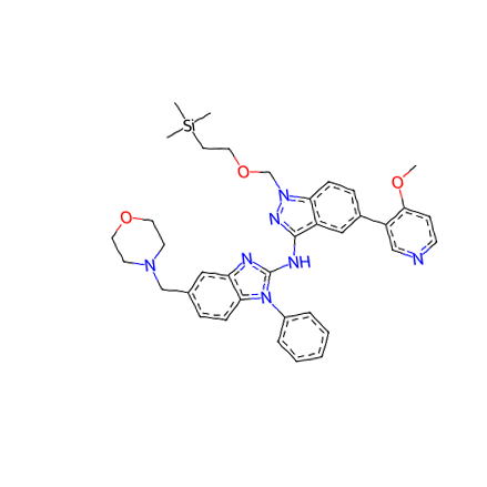 COc1ccncc1-c1ccc2c(c1)c(Nc1nc3cc(CN4CCOCC4)ccc3n1-c1ccccc1)nn2COCC[Si](C)(C)C